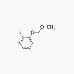 COCOc1cccnc1I